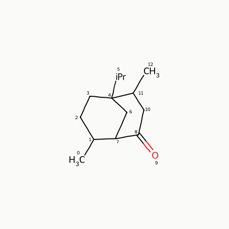 CC1CCC2(C(C)C)CC1C(=O)CC2C